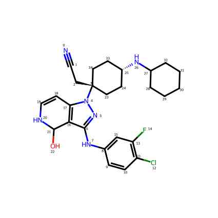 N#CC[C@]1(n2nc(Nc3ccc(Cl)c(F)c3)c3c2C=CNC3O)CC[C@@H](NC2CCCCC2)CC1